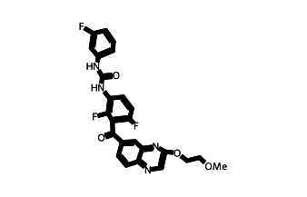 COCCOc1cnc2ccc(C(=O)c3c(F)ccc(NC(=O)Nc4cccc(F)c4)c3F)cc2n1